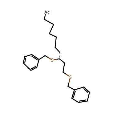 CC(=O)CCCCCC[C@H](CCSCc1ccccc1)SCc1ccccc1